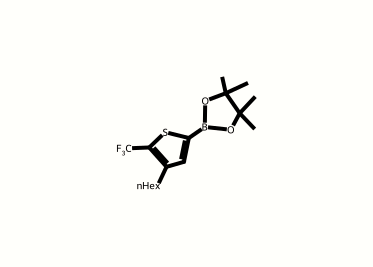 CCCCCCc1cc(B2OC(C)(C)C(C)(C)O2)sc1C(F)(F)F